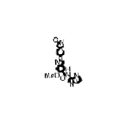 COc1cc2nn([C@H]3CC[C@]4(CC3)CC(=O)N(C)C4)cc2cc1C(=O)Nc1cnn2cccnc12